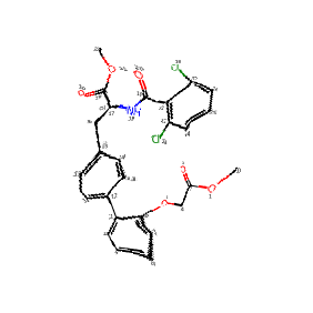 COC(=O)COc1ccccc1-c1ccc(C[C@H](NC(=O)c2c(Cl)cccc2Cl)C(=O)OC)cc1